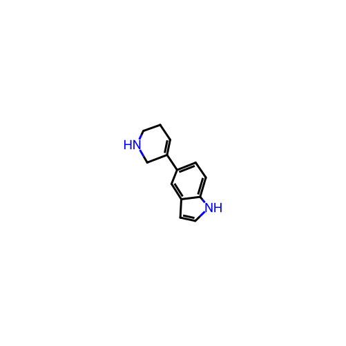 C1=C(c2ccc3[nH]ccc3c2)CNCC1